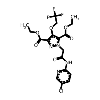 CCOC(=O)c1nn(CC(=O)Nc2ccc(Cl)cn2)c(C(=O)OCC)c1OCC(F)(F)F